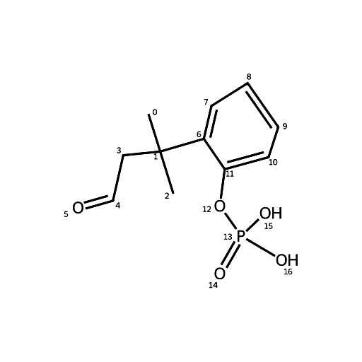 CC(C)(CC=O)c1ccccc1OP(=O)(O)O